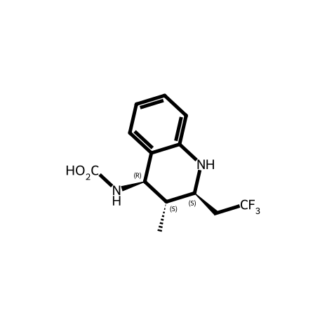 C[C@H]1[C@H](CC(F)(F)F)Nc2ccccc2[C@@H]1NC(=O)O